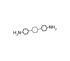 Nc1ccc(C2CCC(c3ccc(N)cc3)CC2)cc1